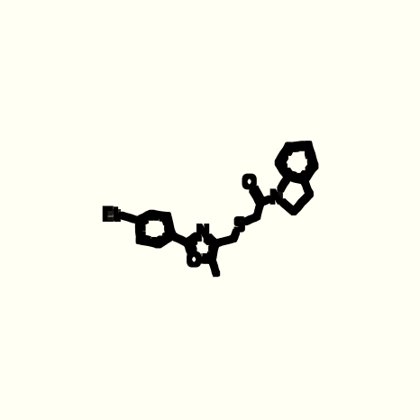 CCc1ccc(-c2nc(CSCC(=O)N3CCc4ccccc43)c(C)o2)cc1